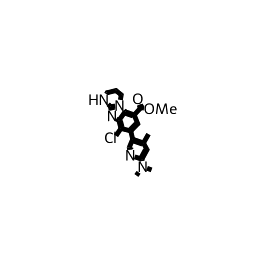 COC(=O)c1cc(-c2cnc(N(C)C)cc2C)c(Cl)c2nc3n(c12)CCCN3